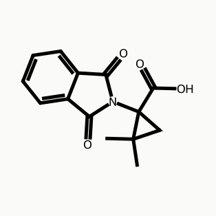 CC1(C)CC1(C(=O)O)N1C(=O)c2ccccc2C1=O